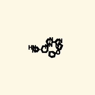 c1ccc(Oc2ccc3ncc(-c4nccc(N5CCC[C@H](c6cn[nH]c6)C5)n4)n3c2)cc1